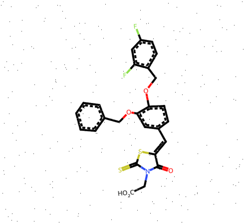 O=C(O)CN1C(=O)C(=Cc2ccc(OCc3ccc(F)cc3F)c(OCc3ccccc3)c2)SC1=S